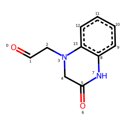 O=CCN1CC(=O)Nc2ccccc21